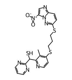 Cc1c(SCCCSc2ccc3ncc([N+](=O)[O-])n3n2)ccnc1C(S)c1ncccn1